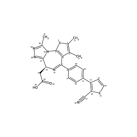 Cc1sc2c(c1C)C(c1ccc(-c3ccsc3C#N)cc1)=N[C@@H](CC(=O)O)c1nnc(C)n1-2